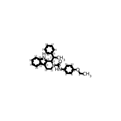 CCOc1ccc(NC(=O)N2CCc3c([nH]c4ccccc34)C2C(C)c2ccccc2)cc1